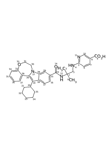 CC(C)(CNc1ccc(C(=O)O)cn1)NC(=O)c1ccc2c(C3CCCCC3)c3n(c2c1)CCOc1ccccc1-3